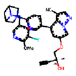 C#C[C@](C)(O)COc1cc(-c2ccc(N3CC4CC(C3)N4Cc3cnc(OC)c(F)c3)nc2)c2c(C#N)cnn2c1